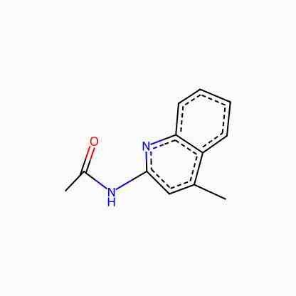 CC(=O)Nc1cc(C)c2ccccc2n1